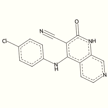 N#Cc1c(Nc2ccc(Cl)cc2)c2ccncc2[nH]c1=O